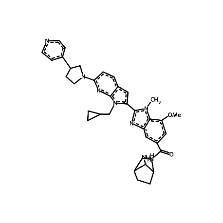 COc1cc(C(=O)N2CC3CCC2[C@@H]3N)cc2nc(-c3cc4ccc(N5CCC(c6ccncc6)C5)nc4n3CC3CC3)n(C)c12